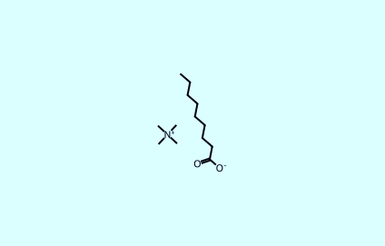 CCCCCCCCC(=O)[O-].C[N+](C)(C)C